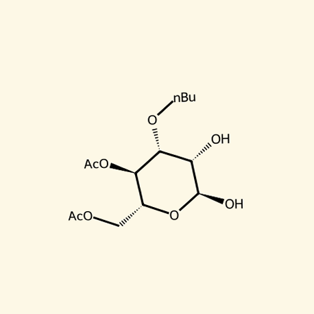 CCCCO[C@@H]1[C@H](O)[C@@H](O)O[C@H](COC(C)=O)[C@H]1OC(C)=O